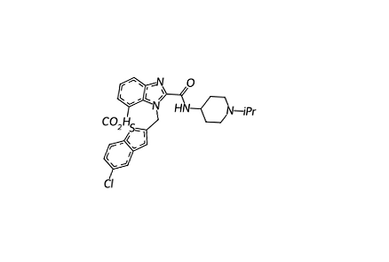 CC(C)N1CCC(NC(=O)c2nc3cccc(C(=O)O)c3n2Cc2cc3cc(Cl)ccc3s2)CC1